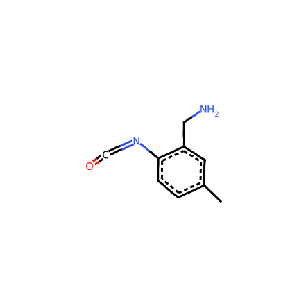 Cc1ccc(N=C=O)c(CN)c1